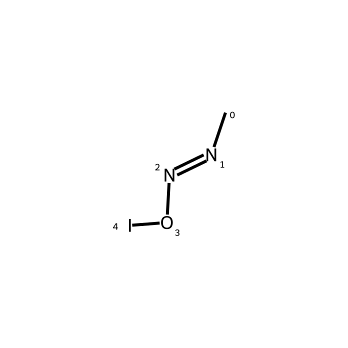 CN=NOI